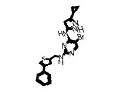 Brc1cnc(NCC2CC(c3ccccc3)=CS2)nc1Nc1cc(C2CC2)n[nH]1